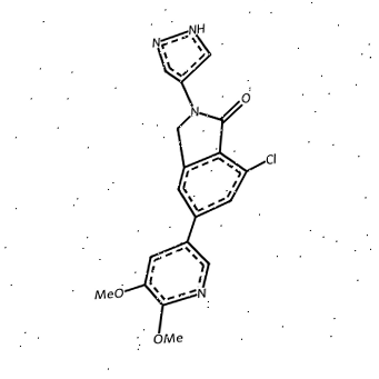 COc1cc(-c2cc(Cl)c3c(c2)CN(c2cn[nH]c2)C3=O)cnc1OC